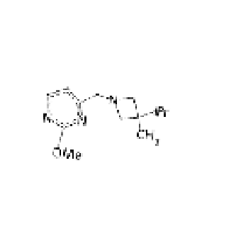 COc1nccc(CN2CC(C)(C(C)C)C2)n1